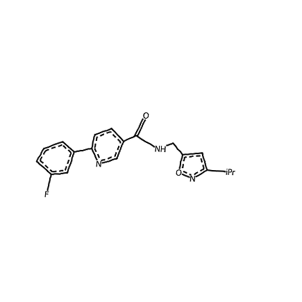 CC(C)c1cc(CNC(=O)c2ccc(-c3cccc(F)c3)nc2)on1